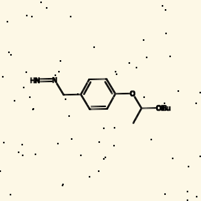 CC(C)COC(C)Oc1ccc(CN=N)cc1